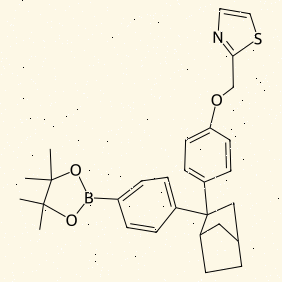 CC1(C)OB(c2ccc(C3(c4ccc(OCc5nccs5)cc4)CC4CCC3C4)cc2)OC1(C)C